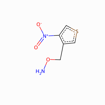 NOCc1cscc1[N+](=O)[O-]